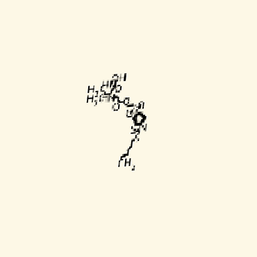 CCCCCCSc1nc2ccc(S(=O)(=O)CCOC(=O)CN[C@@H](C(=O)NO)C(C)C)cc2s1